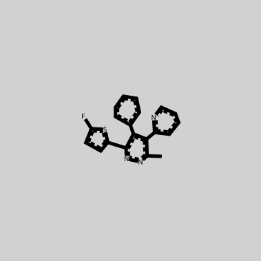 Cc1nnc(-c2ccc(F)s2)c(-c2ccccc2)c1-c1ccccn1